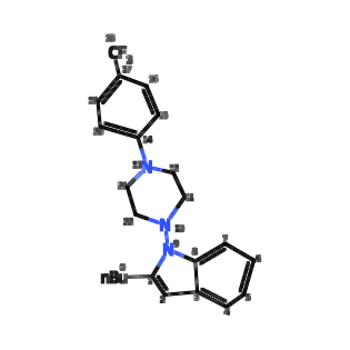 CCCCc1cc2ccccc2n1N1CCN(c2ccc(C(F)(F)F)cc2)CC1